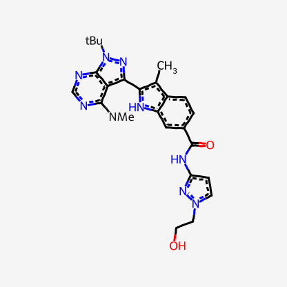 CNc1ncnc2c1c(-c1[nH]c3cc(C(=O)Nc4ccn(CCO)n4)ccc3c1C)nn2C(C)(C)C